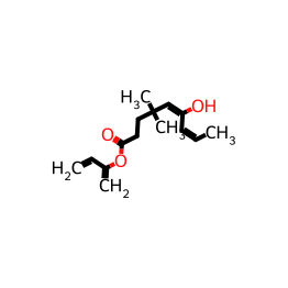 C=CC(=C)OC(=O)CCC(C)(C)/C=C(O)\C=C/C